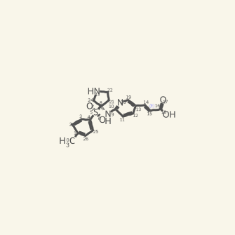 Cc1ccc(S(=O)(=O)[C@]2(Nc3ccc(/C=C/C(=O)O)cn3)CCNC2)cc1